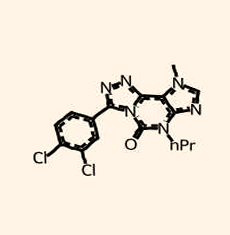 CCCn1c(=O)n2c(-c3ccc(Cl)c(Cl)c3)nnc2c2c1ncn2C